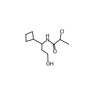 CC(Cl)C(=O)NC(CCO)C1CCC1